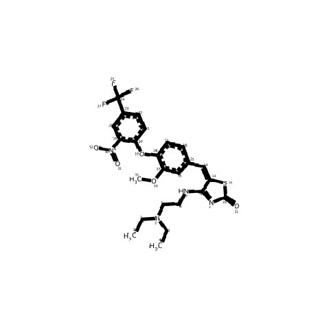 CCN(CC)CCNC1=NC(=O)SC1=Cc1ccc(Oc2ccc(C(F)(F)F)cc2[N+](=O)[O-])c(OC)c1